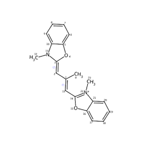 CC(/C=C1\Oc2ccccc2N1C)=C\c1oc2ccccc2[n+]1C